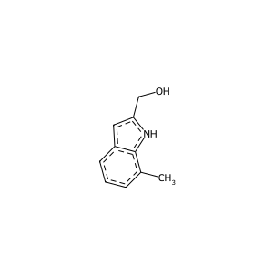 Cc1cccc2cc(CO)[nH]c12